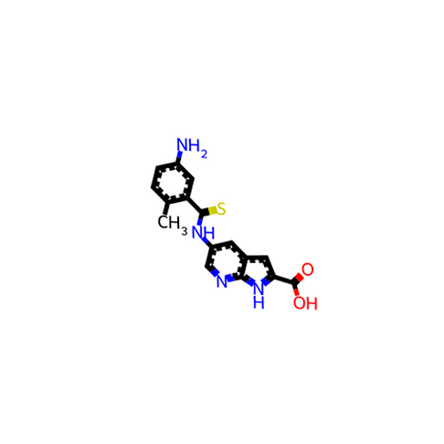 Cc1ccc(N)cc1C(=S)Nc1cnc2[nH]c(C(=O)O)cc2c1